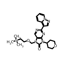 C[Si](C)(C)CCOCn1c(=O)n(C2CCOCC2)c2nc(-c3cnn4ccccc34)ncc21